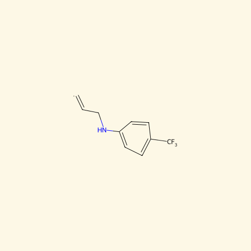 [CH]=CCNc1ccc(C(F)(F)F)cc1